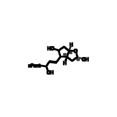 CCCCCC(O)C=CC1C(O)C[C@H]2O[C@H](O)C[C@H]12